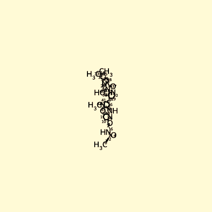 CC#CC(=O)NCCOc1cccc(Nc2cc(-c3ccnc(N4CCn5c(cc6c5CC(C)(C)C6)C4=O)c3CO)cn(C)c2=O)n1